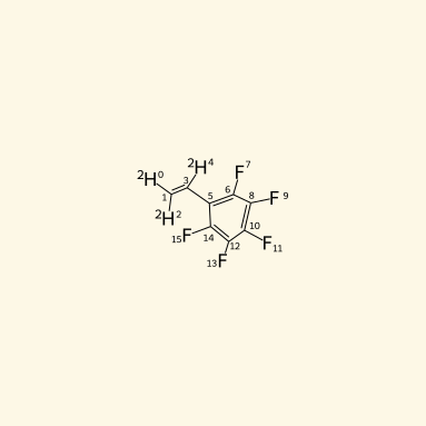 [2H]C([2H])=C([2H])c1c(F)c(F)c(F)c(F)c1F